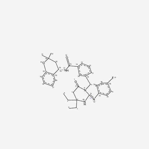 CCC1(CC)CC(=O)N(Cc2cccc(C(=O)N[C@H]3CC(C)(C)Oc4ccccc43)c2)/C(=N\c2ccc(F)cn2)N1